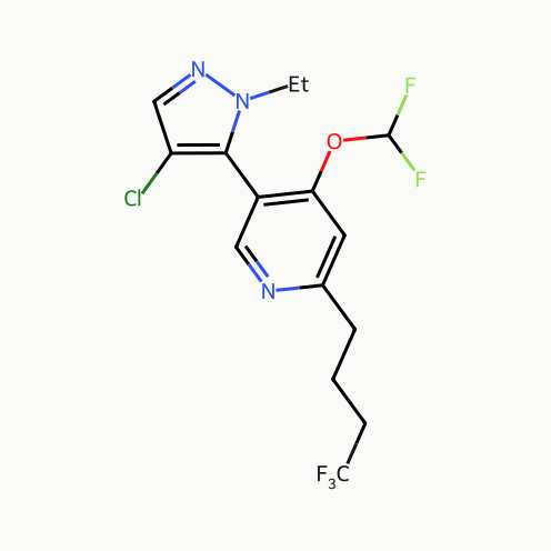 CCn1ncc(Cl)c1-c1cnc(CCCC(F)(F)F)cc1OC(F)F